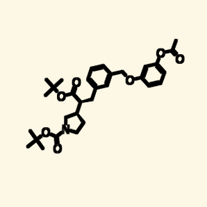 CC(=O)Oc1cccc(OCc2cccc(C[C@H](C(=O)OC(C)(C)C)[C@H]3CCN(C(=O)OC(C)(C)C)C3)c2)c1